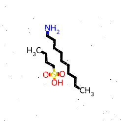 CCCCCCCCCCN.CCCCS(=O)(=O)O